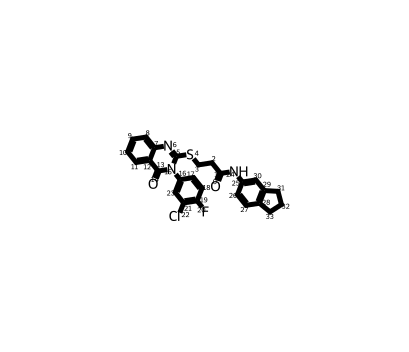 O=C(CCSc1nc2ccccc2c(=O)n1-c1ccc(F)c(Cl)c1)Nc1ccc2c(c1)CCC2